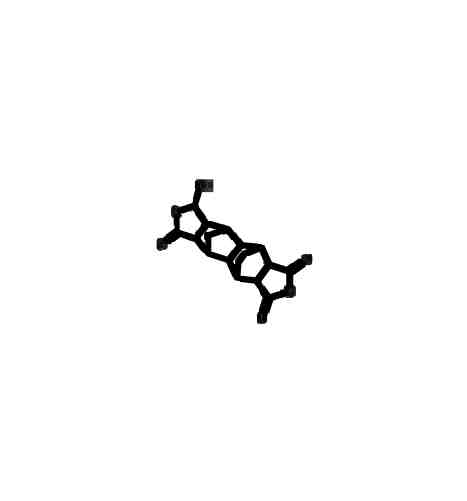 O=C1OC(=O)C2C3CCC(C12)C1C2CC(C4C(O)OC(=O)C24)C31